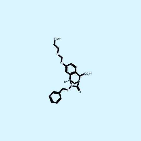 COCCOCOc1ccc2c(c1)[C@H]1CN(C(=O)N1OCc1ccccc1)C2C(=O)O